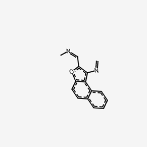 C=Nc1c(/C=N\C)oc2ccc3ccccc3c12